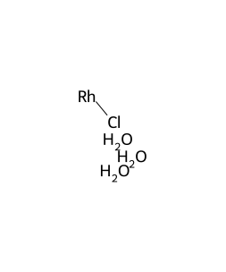 O.O.O.[Cl][Rh]